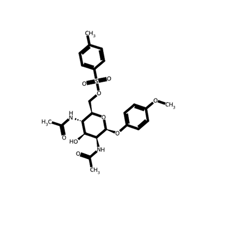 COc1ccc(O[C@@H]2O[C@H](COS(=O)(=O)c3ccc(C)cc3)[C@@H](NC(C)=O)[C@H](O)[C@@H]2NC(C)=O)cc1